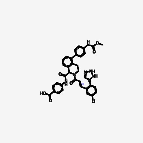 COC(=O)Nc1ccc(-c2cccc3c2CCN(C(=O)/C=C/c2cc(Cl)ccc2N2C=NNN2)C3C(=O)Nc2ccc(C(=O)O)cc2)cc1